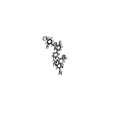 N#Cc1cc2nc(CN3CCC(c4ccc(F)c(OCc5ccc(Cl)cc5F)n4)CC3)n(C[C@@H]3CCO3)c2cn1